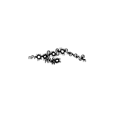 C=CC(=O)OCCOCCOCCOC1CCC(C(=O)OC2CCC(C(=O)Oc3ccc(C4CCC(CCC)CC4)cc3/C=N/Nc3nc4ccccc4s3)CC2)CC1